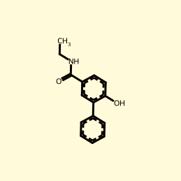 CCNC(=O)c1ccc(O)c(-c2ccccc2)c1